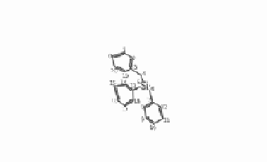 c1ccc(C[Si](Cc2ccccc2)c2ccccc2)cc1